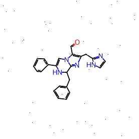 O=Cc1c(Cc2ncc[nH]2)nc2n1C=C(c1ccccc1)NC2Cc1ccccc1